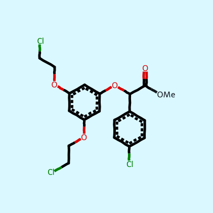 COC(=O)C(Oc1cc(OCCCl)cc(OCCCl)c1)c1ccc(Cl)cc1